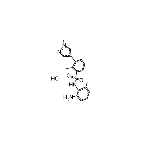 Cc1cccc(N)c1NS(=O)(=O)c1cccc(-c2cnn(C)c2)c1C.Cl